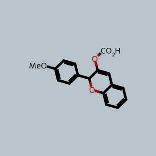 COc1ccc(C2Oc3ccccc3C=C2OC(=O)O)cc1